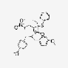 CCC1(Sc2ccccc2)C(=O)N(C(Cc2ccc(OC)cc2)Cc2ccc(OC)cc2)C1CC(C)[N+](=O)[O-]